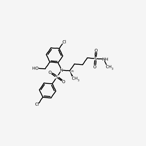 CNS(=O)(=O)CCC[C@@H](C)N(c1cc(Cl)ccc1CO)S(=O)(=O)c1ccc(Cl)cc1